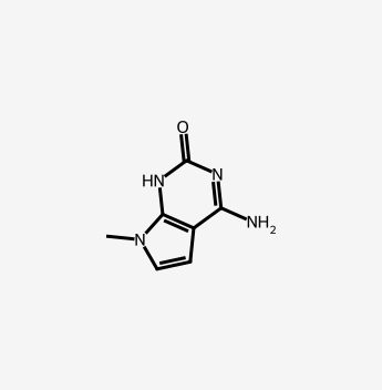 Cn1ccc2c(N)nc(=O)[nH]c21